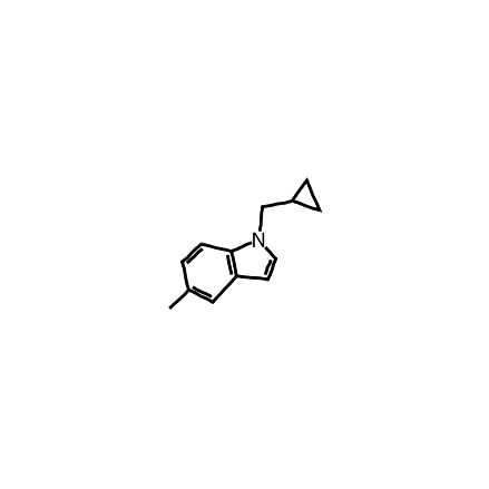 Cc1ccc2c(ccn2CC2CC2)c1